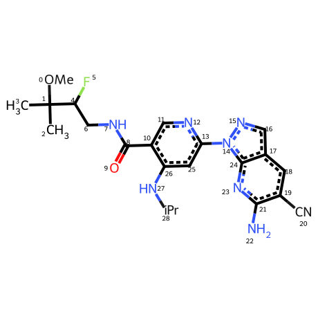 COC(C)(C)C(F)CNC(=O)c1cnc(-n2ncc3cc(C#N)c(N)nc32)cc1NC(C)C